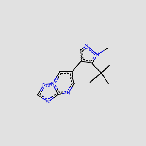 Cn1ncc(-c2cnc3ncnn3c2)c1C(C)(C)C